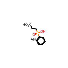 O=C(O)CCP(=O)(O)c1ccccc1.[AlH3]